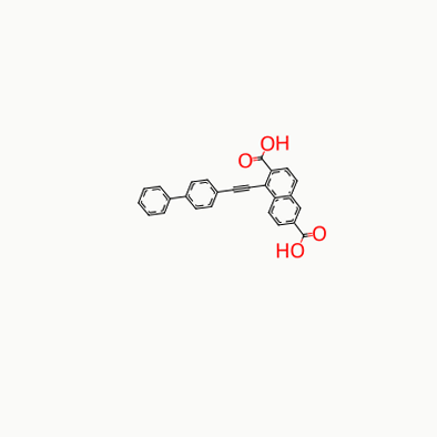 O=C(O)c1ccc2c(C#Cc3ccc(-c4ccccc4)cc3)c(C(=O)O)ccc2c1